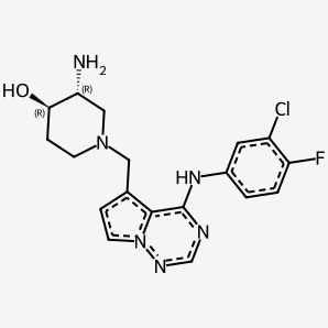 N[C@@H]1CN(Cc2ccn3ncnc(Nc4ccc(F)c(Cl)c4)c23)CC[C@H]1O